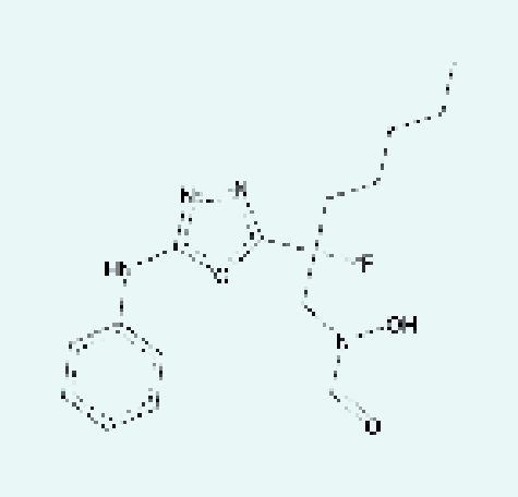 CCCCC[C@@](F)(CN(O)C=O)c1nnc(Nc2ccccc2)o1